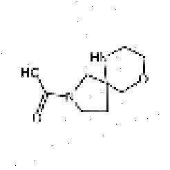 O=C(O)N1CCC2(COCCN2)C1